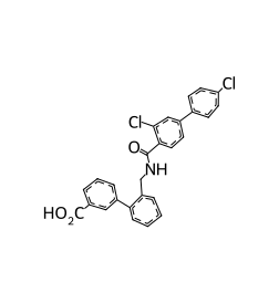 O=C(O)c1cccc(-c2ccccc2CNC(=O)c2ccc(-c3ccc(Cl)cc3)cc2Cl)c1